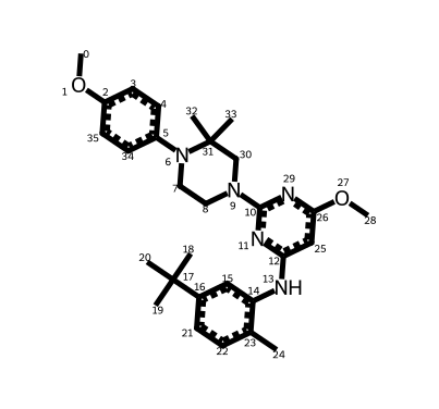 COc1ccc(N2CCN(c3nc(Nc4cc(C(C)(C)C)ccc4C)cc(OC)n3)CC2(C)C)cc1